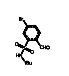 CC(C)(C)NS(=O)(=O)c1cc(Br)ccc1C=O